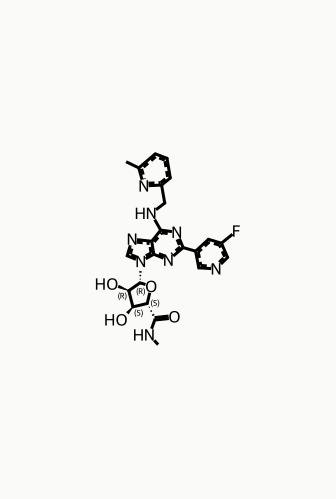 CNC(=O)[C@H]1O[C@@H](n2cnc3c(NCc4cccc(C)n4)nc(-c4cncc(F)c4)nc32)[C@H](O)[C@@H]1O